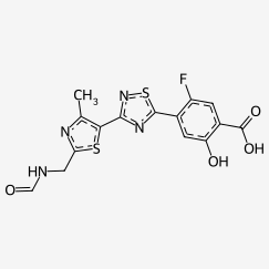 Cc1nc(CNC=O)sc1-c1nsc(-c2cc(O)c(C(=O)O)cc2F)n1